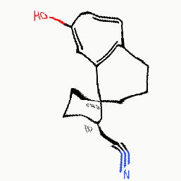 N#C[C@H]1CC[C@@]12CCCc1ccc(O)cc12